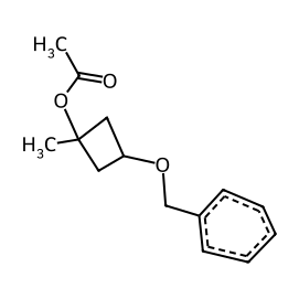 CC(=O)OC1(C)CC(OCc2ccccc2)C1